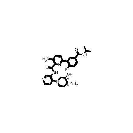 CC(C)NC(=O)c1ccc(F)c(-c2ccc(N)c(C(=O)Nc3cnccc3N3CC[C@@H](N)[C@H](O)C3)n2)c1